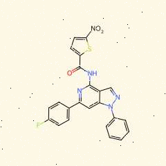 O=C(Nc1nc(-c2ccc(F)cc2)cc2c1cnn2-c1ccccc1)c1ccc([N+](=O)[O-])s1